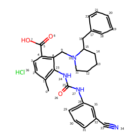 Cc1ccc(C(=O)O)c(CN2CCCCC2Cc2ccccc2)c1NC(=O)Nc1cccc(C#N)c1.Cl